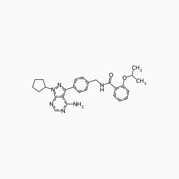 CC(C)Oc1ccccc1C(=O)NCc1ccc(-c2nn(C3CCCC3)c3ncnc(N)c23)cc1